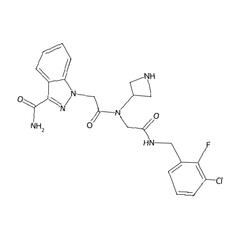 NC(=O)c1nn(CC(=O)N(CC(=O)NCc2cccc(Cl)c2F)C2CNC2)c2ccccc12